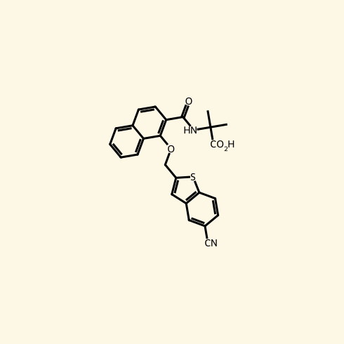 CC(C)(NC(=O)c1ccc2ccccc2c1OCc1cc2cc(C#N)ccc2s1)C(=O)O